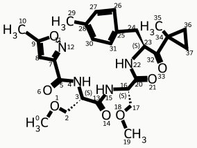 COC[C@H](NC(=O)c1cc(C)on1)C(=O)N[C@@H](COC)C(=O)N[C@@H](Cc1ccc(C)cc1)C(=O)C1(C)CC1